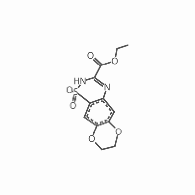 CCOC(=O)C1=Nc2cc3c(cc2S(=O)(=O)N1)OCCO3